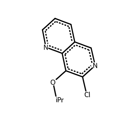 CC(C)Oc1c(Cl)ncc2cccnc12